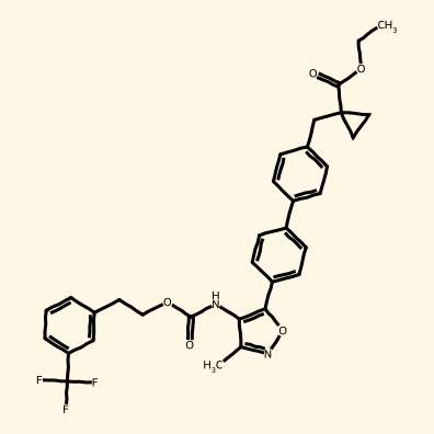 CCOC(=O)C1(Cc2ccc(-c3ccc(-c4onc(C)c4NC(=O)OCCc4cccc(C(F)(F)F)c4)cc3)cc2)CC1